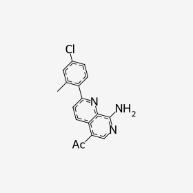 CC(=O)c1cnc(N)c2nc(-c3ccc(Cl)cc3C)ccc12